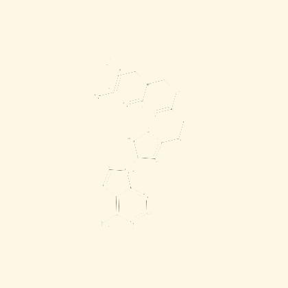 CC(Cc1ccc2cc(Cl)c(N)nc2c1)C1=CC(n2ccc3c(Cl)ncnc32)CC1